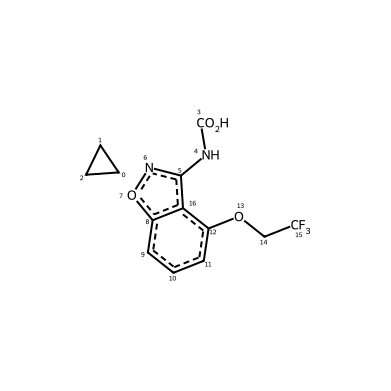 C1CC1.O=C(O)Nc1noc2cccc(OCC(F)(F)F)c12